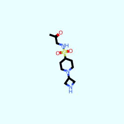 CC(=O)CNS(=O)(=O)C1CCN(C2CNC2)CC1